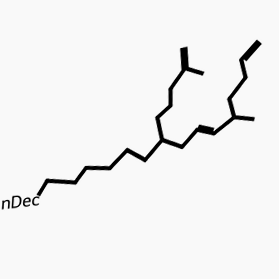 C=CCCC(C)C=CCC(CCCCCCCCCCCCCCCC)CCCC(=C)C